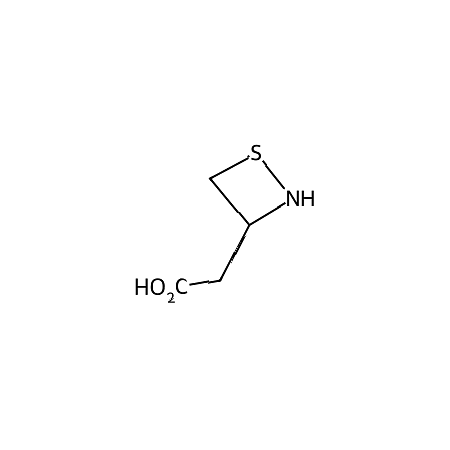 O=C(O)CC1CSN1